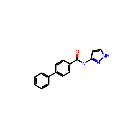 O=C(Nc1cc[nH]n1)c1ccc(-c2ccccc2)cc1